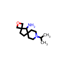 CC(C)N1CCC2(CC1)CCC1(COC1)C2N